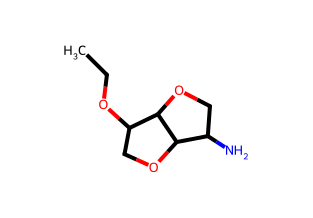 CCOC1COC2C(N)COC12